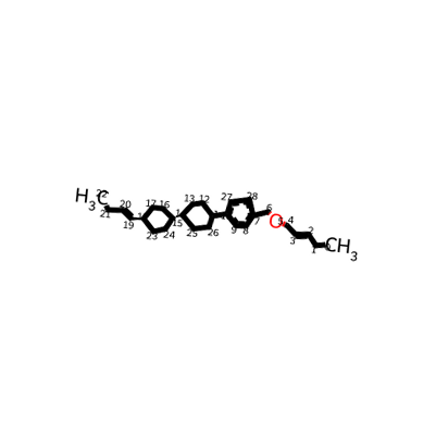 CC/C=C/COCc1ccc(C2CCC([C@H]3CC[C@H](/C=C/CC)CC3)CC2)cc1